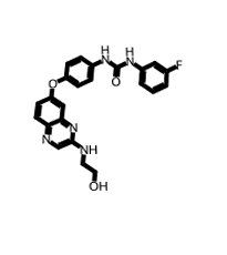 O=C(Nc1ccc(Oc2ccc3ncc(NCCO)nc3c2)cc1)Nc1cccc(F)c1